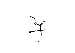 CCOC(=O)[C](F)(F)[Zn][Br]